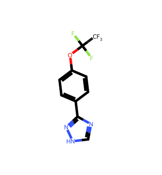 FC(F)(F)C(F)(F)Oc1ccc(-c2nc[nH]n2)cc1